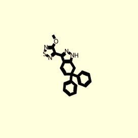 COc1nsnc1-c1n[nH]c2c1C=CC(c1ccccc1)(c1ccccc1)C2